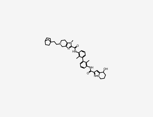 Cc1c(NC(=O)c2cc3n(n2)CCCC3O)cccc1-c1cccc(NC(=O)c2nc3c(n2C)CCN(CCC24CCC(CC2)C4)C3)c1C